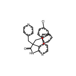 O=C1Nc2nccc(-c3ccc(Cl)cc3)c2C1(Cc1ccncc1)Cc1ccccn1